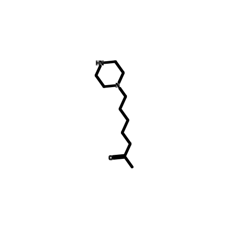 CC(=O)CCCCCN1CCNCC1